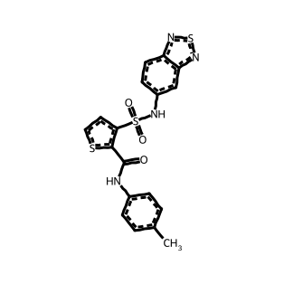 Cc1ccc(NC(=O)c2sccc2S(=O)(=O)Nc2ccc3nsnc3c2)cc1